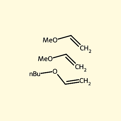 C=COC.C=COC.C=COCCCC